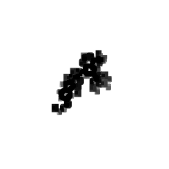 COc1ccc2c(c1)[C@H](O)[C@H](NC(=O)Nc1cc(C(C)(C)C)cc([C@@H](O)C(F)(F)F)c1OC)C2